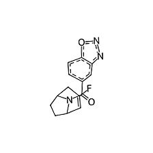 O=C(c1ccc2onnc2c1)N1C2C=C(F)CC1CC2